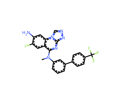 CN(c1cccc(-c2ccc(C(F)(F)F)cc2)c1)c1nc2nncn2c2cc(N)c(F)cc12